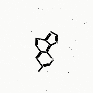 Cc1coc2c(ccc3ncnc32)c1